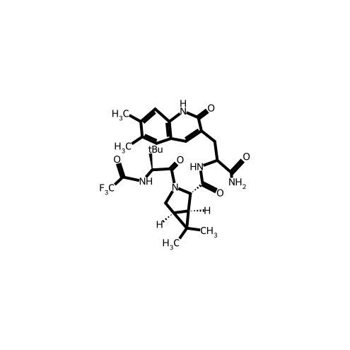 Cc1cc2cc(CC(NC(=O)[C@@H]3[C@@H]4[C@H](CN3C(=O)[C@@H](NC(=O)C(F)(F)F)C(C)(C)C)C4(C)C)C(N)=O)c(=O)[nH]c2cc1C